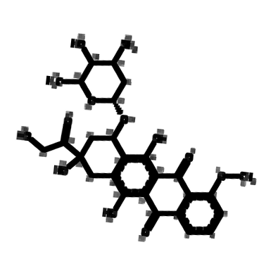 COc1cccc2c1C(=O)c1c(O)c3c(c(O)c1C2=O)CC(O)(C(=O)CO)CC3O[C@H]1CC(N)C(O)C(C)O1